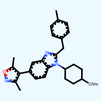 COC1CCC(n2c(Cc3ccc(C)cc3)nc3cc(-c4c(C)noc4C)ccc32)CC1